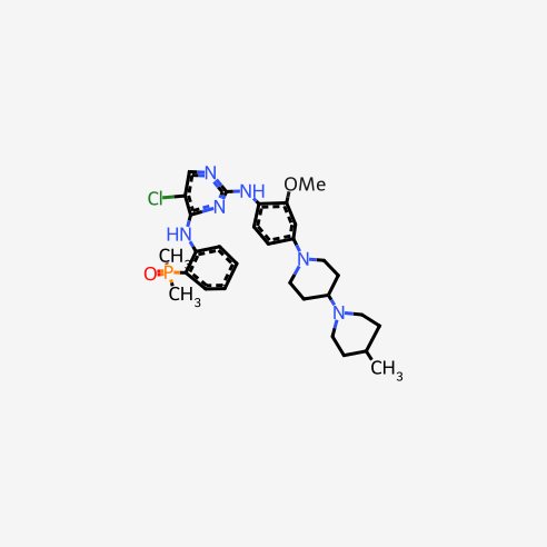 COc1cc(N2CCC(N3CCC(C)CC3)CC2)ccc1Nc1ncc(Cl)c(Nc2ccccc2P(C)(C)=O)n1